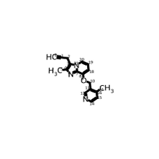 C#CCc1c(C)nc2c(OCc3cnccc3C)cccn12